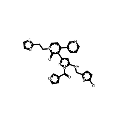 O=C(c1ccoc1)n1nc(-c2c(-c3cccnc3)ccn(CCc3nccs3)c2=O)cc1NCc1ccc(Cl)s1